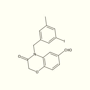 Cc1cc(I)cc(CN2C(=O)COc3ccc(C=O)cc32)c1